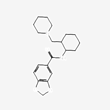 O=C(NC1CCCCC1CN1CCCCC1)c1ccc2c(c1)OCO2